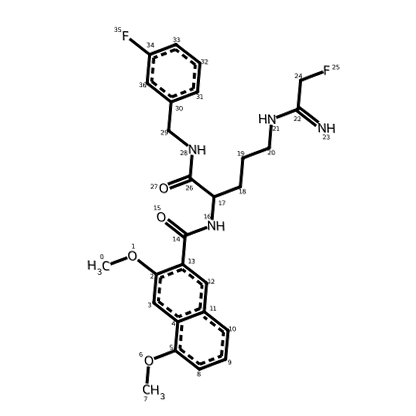 COc1cc2c(OC)cccc2cc1C(=O)NC(CCCNC(=N)CF)C(=O)NCc1cccc(F)c1